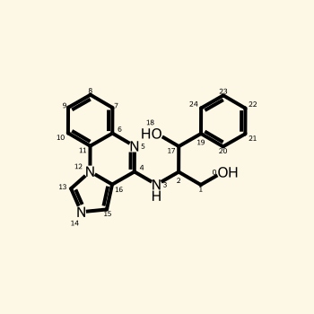 OCC(Nc1nc2ccccc2n2cncc12)C(O)c1ccccc1